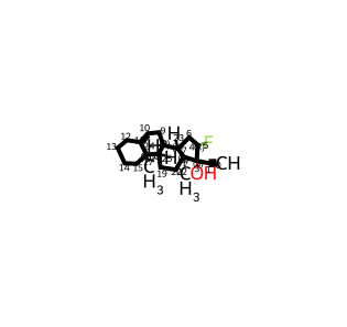 C#C[C@]1(O)[C@H](F)C[C@H]2[C@@H]3CC=C4CCCC[C@]4(C)[C@H]3CC[C@@]21C